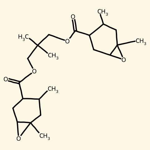 CC1CC2(C)OC2CC1C(=O)OCC(C)(C)COC(=O)C1CC2OC2(C)CC1C